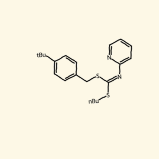 CCCCSC(=Nc1ccccn1)SCc1ccc(C(C)(C)C)cc1